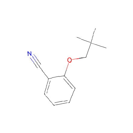 CC(C)(C)COc1ccccc1C#N